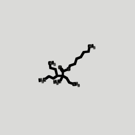 CCCCCCCOC(=O)C([SiH3])(CCC)C(CCC)CCC